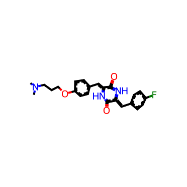 CN(C)CCCOc1ccc(C=c2[nH]c(=O)c(=Cc3ccc(F)cc3)[nH]c2=O)cc1